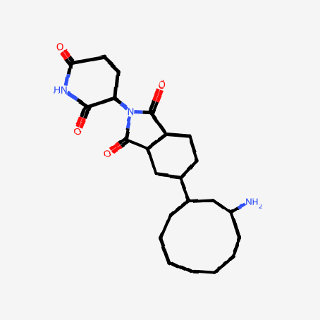 NC1CCCCCCCC(C2CCC3C(=O)N(C4CCC(=O)NC4=O)C(=O)C3C2)C1